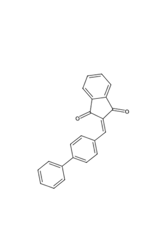 O=C1C(=Cc2ccc(-c3ccccc3)cc2)C(=O)c2ccccc21